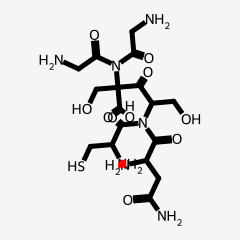 NCC(=O)N(C(=O)CN)C(CO)(C(=O)O)C(=O)C(CO)N(C(=O)C(N)CS)C(=O)C(N)CC(N)=O